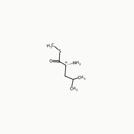 CSC(=O)[C@H](N)CC(C)C